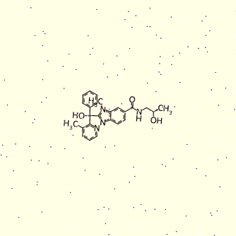 Cc1cccnc1C(O)(c1ccccc1)c1nc2ccc(C(=O)NC[C@@H](C)O)cc2n1C